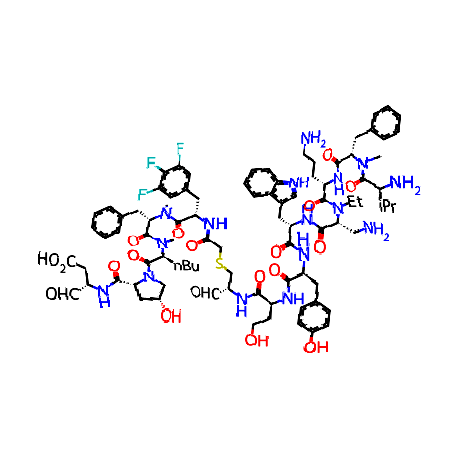 CCCC[C@@H](C(=O)N1C[C@H](O)C[C@@H]1C(=O)N[C@H](C=O)CC(=O)O)N(C)C(=O)[C@H](Cc1ccccc1)N(C)C(=O)[C@H](Cc1cc(F)c(F)c(F)c1)NC(=O)CSC[C@@H](C=O)NC(=O)[C@H](CCO)NC(=O)[C@H](Cc1ccc(O)cc1)NC(=O)[C@H](Cc1c[nH]c2ccccc12)NC(=O)[C@@H](CN)N(CC)C(=O)[C@H](CCCN)NC(=O)[C@H](Cc1ccccc1)N(C)C(=O)[C@@H](N)C(C)C